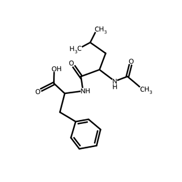 CC(=O)NC(CC(C)C)C(=O)NC(Cc1ccccc1)C(=O)O